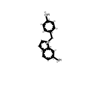 CC(C)c1ccc2ccn(Cc3ccc(O)cc3)c2c1